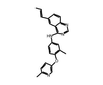 [CH2]C=Cc1ccc2ncnc(Nc3ccc(Oc4ccc(C)nc4)c(C)c3)c2c1